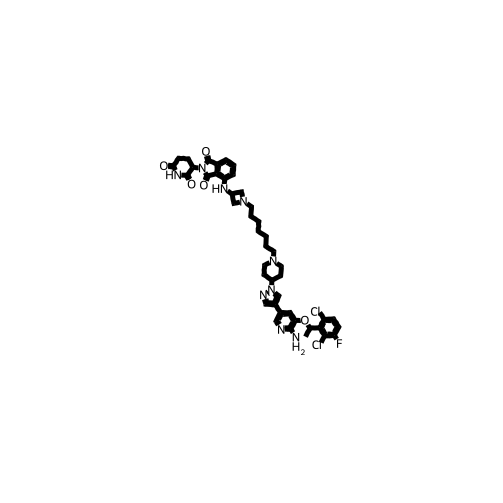 CC(Oc1cc(-c2cnn(C3CCN(CCCCCCCN4CC(Nc5cccc6c5C(=O)N(C5CCC(=O)NC5=O)C6=O)C4)CC3)c2)cnc1N)c1c(Cl)ccc(F)c1Cl